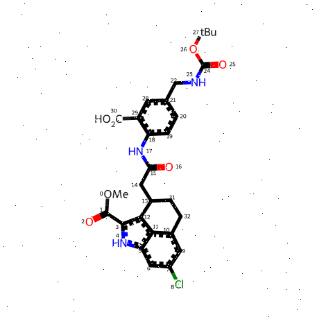 COC(=O)c1[nH]c2cc(Cl)cc3c2c1C(CC(=O)Nc1ccc(CNC(=O)OC(C)(C)C)cc1C(=O)O)CC3